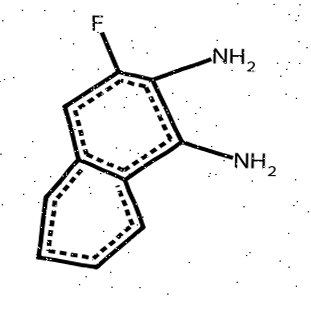 Nc1c(F)cc2ccccc2c1N